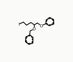 ICCCC(COc1ccccc1)OCc1ccccc1